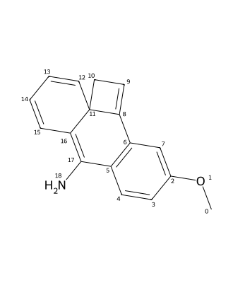 COc1ccc2c(c1)C1=CCC13C=CC=CC3=C2N